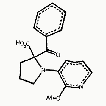 COc1ncccc1N1CCCC1(C(=O)O)C(=O)c1ccccc1